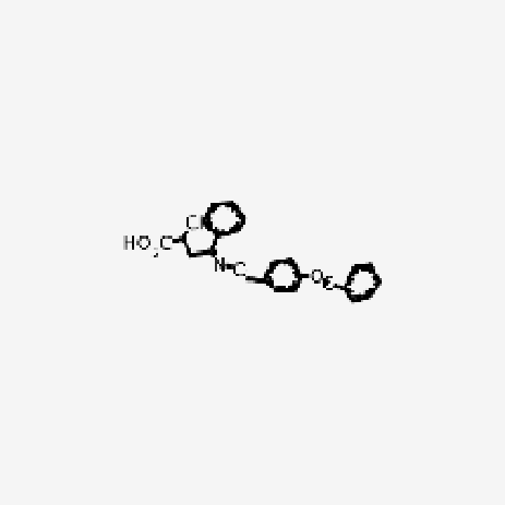 CC(CC(=NOCc1ccc(OCc2ccccc2)cc1)c1ccccc1)C(=O)O